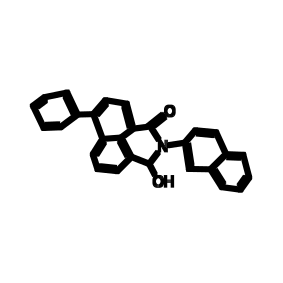 O=C1c2ccc(-c3ccccc3)c3cccc(c23)C(O)N1c1ccc2ccccc2c1